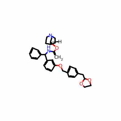 C=C(NC(c1ccccc1)c1cccc(OCc2ccc(CC3OCCO3)cc2)c1)O[C@H]1CN2CCC1CC2